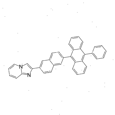 c1ccc(-c2c3ccccc3c(-c3ccc4cc(-c5cn6ccccc6n5)ccc4c3)c3ccccc23)cc1